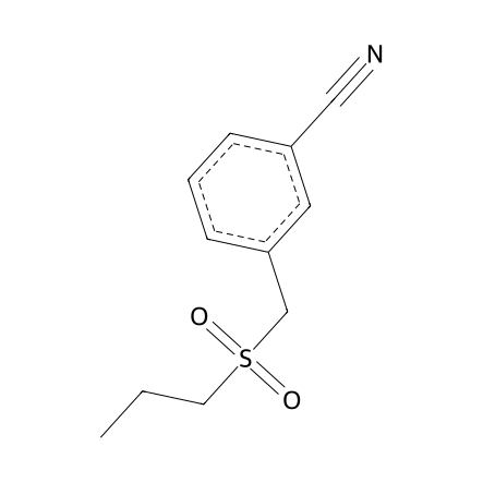 CCCS(=O)(=O)Cc1cccc(C#N)c1